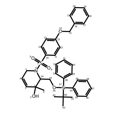 CC1(O)C=CCN(S(=O)(=O)c2ccc(OCc3ccccc3)cc2)C1CO[Si](c1ccccc1)(c1ccccc1)C(C)(C)C